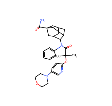 CC(C)(Oc1ccc(N2CCOCC2)cn1)C(=O)N(c1ccccc1)C1C2CC3CC1CC(C(N)=O)(C3)C2